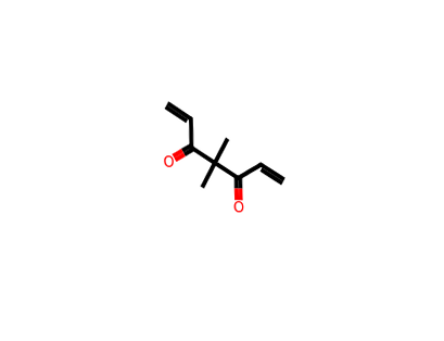 C=CC(=O)C(C)(C)C(=O)C=C